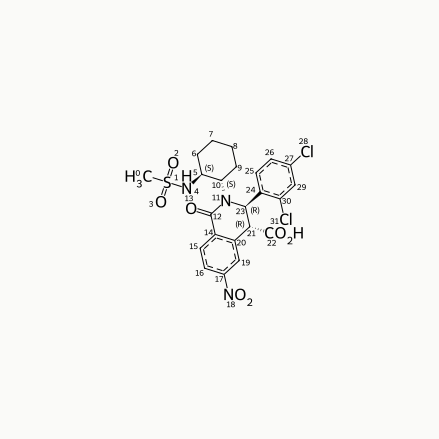 CS(=O)(=O)N[C@H]1CCCC[C@@H]1N1C(=O)c2ccc([N+](=O)[O-])cc2[C@@H](C(=O)O)[C@@H]1c1ccc(Cl)cc1Cl